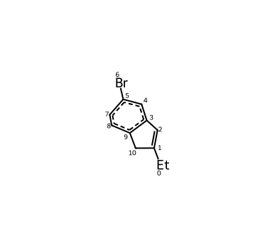 CCC1=Cc2cc(Br)ccc2C1